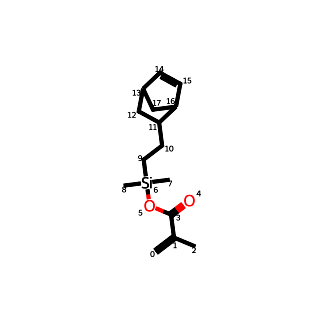 C=C(C)C(=O)O[Si](C)(C)CCC1CC2C=CC1C2